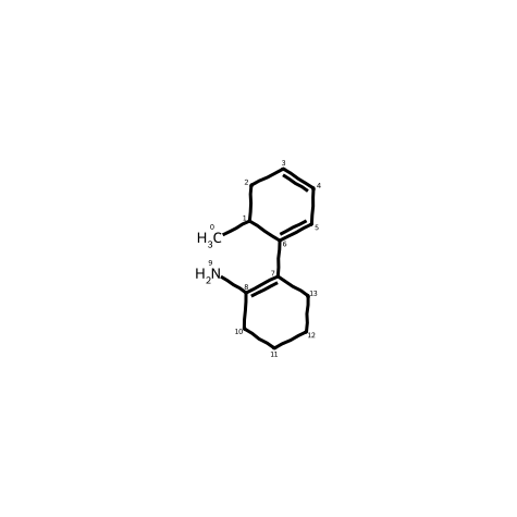 CC1CC=CC=C1C1=C(N)CCCC1